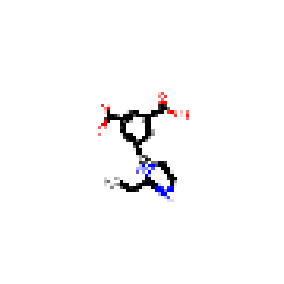 C=Cc1ncc[nH]1.Cc1cc(C(=O)O)cc(C(=O)O)c1